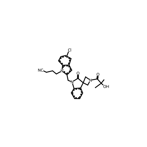 CC(C)(O)C(=O)N1CC2(C1)C(=O)N(Cc1cc3cc(Cl)ccc3n1CCCC#N)c1ccccc12